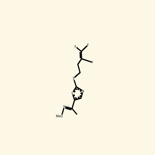 CO/N=C(\C)c1cnc(SCCC(F)=C(F)F)s1